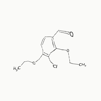 CCOc1ccc(C=O)c(OCC)c1Cl